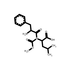 COC(=O)N(C(=O)C(N)Cc1ccccc1)C(CC(C)C)C(=O)O